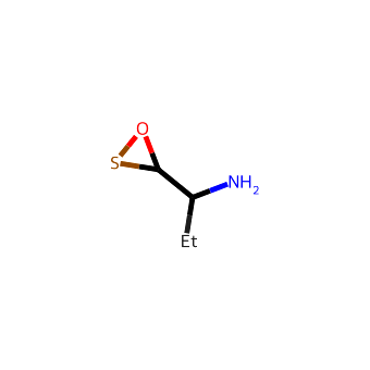 CCC(N)C1OS1